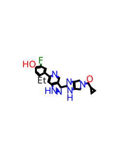 CCc1cc(O)c(F)cc1-c1cc2[nH]nc(-c3nc4c([nH]3)CN(C(=O)C3CC3)C4)c2cn1